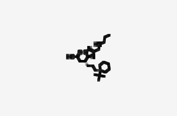 CCCNCc1noc([C@H](CCCC2(C(C)(C)C)CCCCC2)CC(=O)O)n1